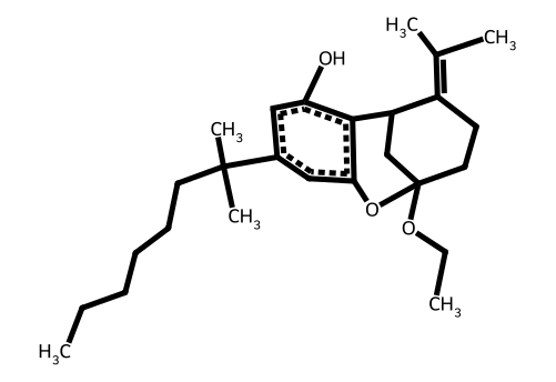 CCCCCCC(C)(C)c1cc(O)c2c(c1)OC1(OCC)CCC(=C(C)C)C2C1